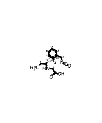 CCC(C)NCC(=O)O.O=C=NCc1ccccc1